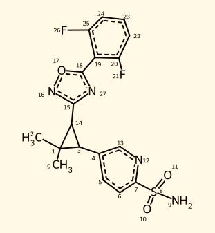 CC1(C)C(c2ccc(S(N)(=O)=O)nc2)C1c1noc(-c2c(F)cccc2F)n1